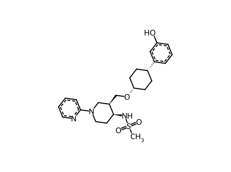 CS(=O)(=O)N[C@H]1CCN(c2ccccn2)C[C@H]1CO[C@H]1CC[C@@H](c2cccc(O)c2)CC1